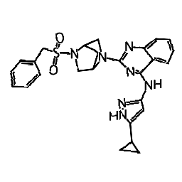 O=S(=O)(Cc1ccccc1)N1CC2CC1CN2c1nc(Nc2cc(C3CC3)[nH]n2)c2ccccc2n1